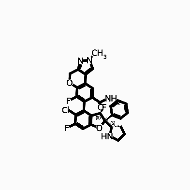 Cn1cc2c(n1)COc1c-2cc(C(N)=O)c(-c2c(Cl)c(F)cc3c2[C@H](F)[C@](c2ccccc2)([C@@H]2CCCN2)O3)c1F